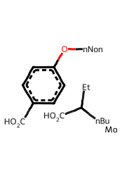 CCCCC(CC)C(=O)O.CCCCCCCCCOc1ccc(C(=O)O)cc1.[Mo]